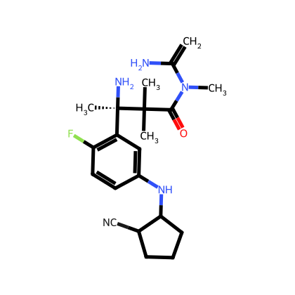 C=C(N)N(C)C(=O)C(C)(C)[C@](C)(N)c1cc(NC2CCCC2C#N)ccc1F